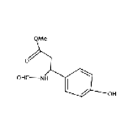 COC(=O)CC(NC=O)c1ccc(O)cc1